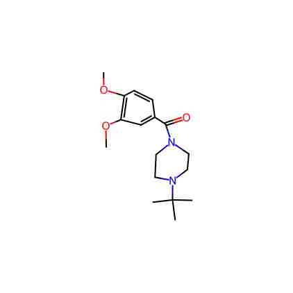 COc1ccc(C(=O)N2CCN(C(C)(C)C)CC2)cc1OC